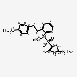 CCCCN(c1ccccc1CCc1ccc(C(=O)O)cc1)S(=O)(=O)c1sc(NC(C)=O)nc1C